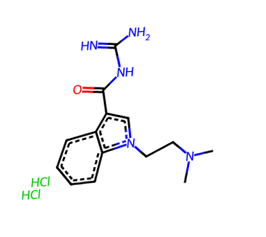 CN(C)CCn1cc(C(=O)NC(=N)N)c2ccccc21.Cl.Cl